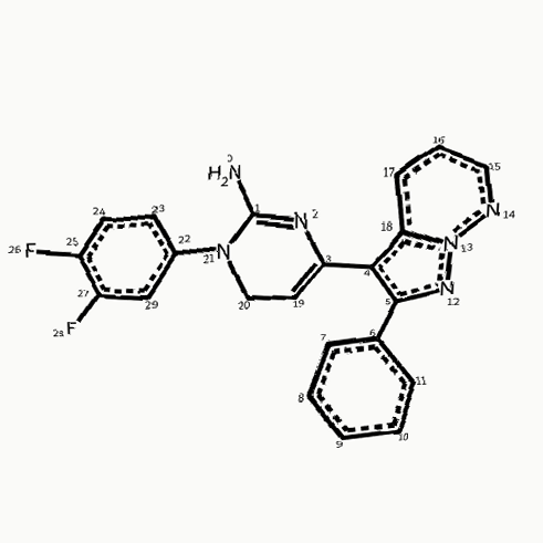 NC1=NC(c2c(-c3ccccc3)nn3ncccc23)=CCN1c1ccc(F)c(F)c1